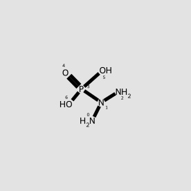 NN(N)P(=O)(O)O